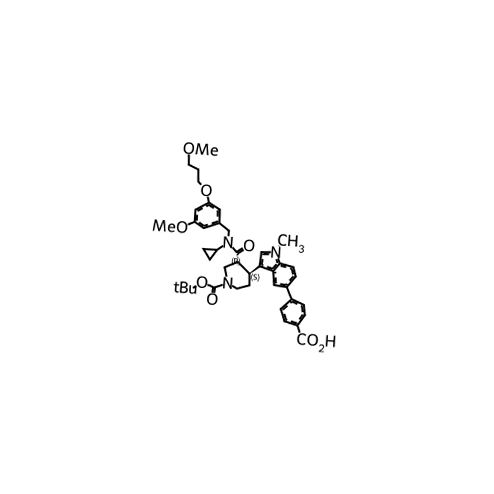 COCCCOc1cc(CN(C(=O)[C@H]2CN(C(=O)OC(C)(C)C)CC[C@@H]2c2cn(C)c3ccc(-c4ccc(C(=O)O)cc4)cc23)C2CC2)cc(OC)c1